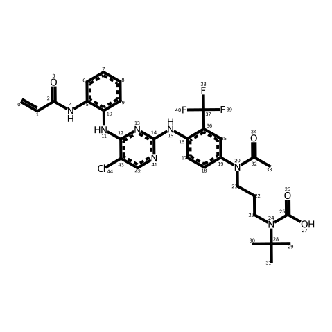 C=CC(=O)Nc1ccccc1Nc1nc(Nc2ccc(N(CCCN(C(=O)O)C(C)(C)C)C(C)=O)cc2C(F)(F)F)ncc1Cl